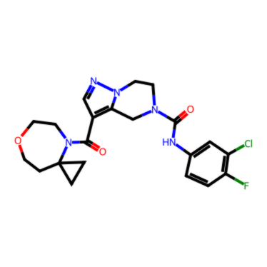 O=C(Nc1ccc(F)c(Cl)c1)N1CCn2ncc(C(=O)N3CCOCCC34CC4)c2C1